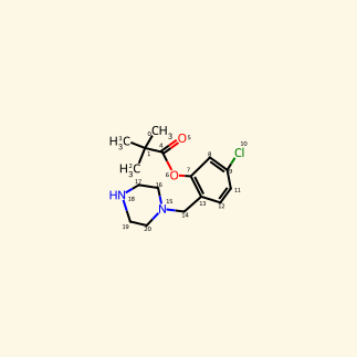 CC(C)(C)C(=O)Oc1cc(Cl)ccc1CN1CCNCC1